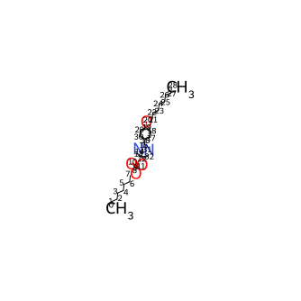 CCCCCCCCOC(=O)Oc1cnc(-c2ccc(OCCCCCCCC)cc2)nc1